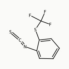 FC(F)(F)Sc1ccccc1N=C=S